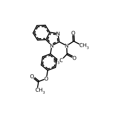 CC(=O)Oc1ccc(-n2c(N(C(C)=O)C(C)=O)nc3ccccc32)cc1